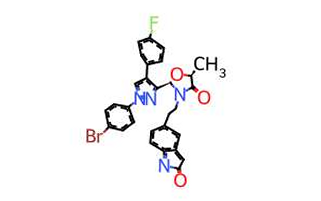 C[C@@H]1O[C@H](c2nn(-c3ccc(Br)cc3)cc2-c2ccc(F)cc2)N(CCc2ccc3c(c2)=CC(=O)N=3)C1=O